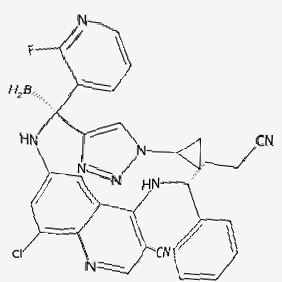 B[C@@](Nc1cc(Cl)c2ncc(C#N)c(N[C@H](CCC#N)c3ccccc3)c2c1)(c1cn(C2CC2)nn1)c1cccnc1F